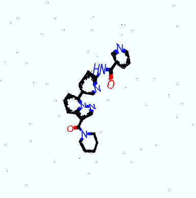 O=C(Nc1ccc(-c2cccc3c(C(=O)N4CCCCC4)cnn23)cn1)c1cccnc1